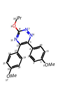 COc1ccc(-c2nnc(OC(C)C)nc2-c2ccc(OC)cc2)cc1